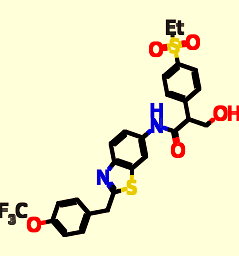 CCS(=O)(=O)c1ccc(C(CO)C(=O)Nc2ccc3nc(Cc4ccc(OC(F)(F)F)cc4)sc3c2)cc1